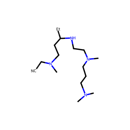 CCC(CCN(C)CC#N)NCCN(C)CCCN(C)C